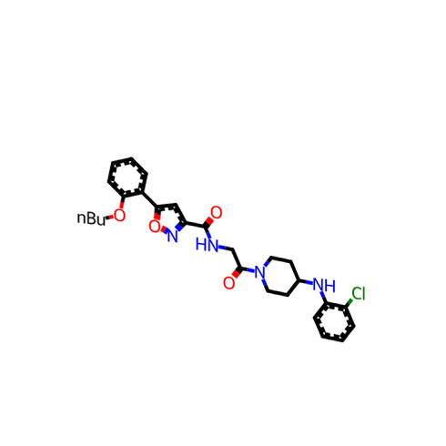 CCCCOc1ccccc1-c1cc(C(=O)NCC(=O)N2CCC(Nc3ccccc3Cl)CC2)no1